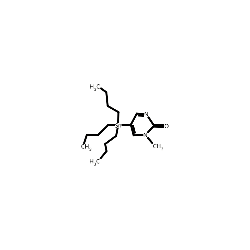 CCC[CH2][Sn]([CH2]CCC)([CH2]CCC)[c]1cnc(=O)n(C)c1